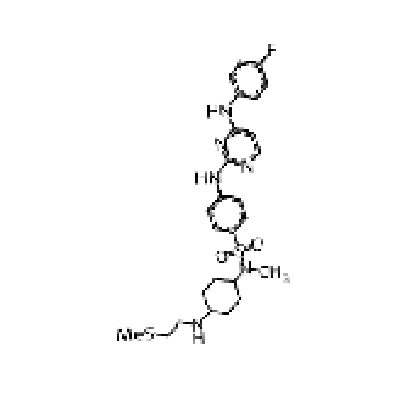 CSCCNC1CCC(N(C)S(=O)(=O)c2ccc(Nc3nccc(Nc4ccc(F)cc4)n3)cc2)CC1